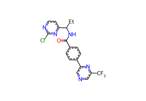 CCC(NC(=O)c1ccc(-c2cncc(C(F)(F)F)n2)cc1)c1ccnc(Cl)n1